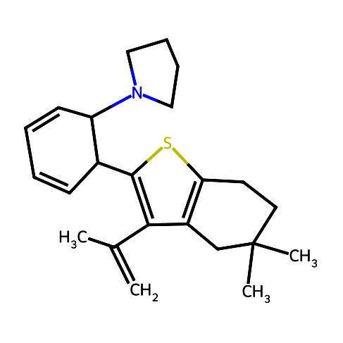 C=C(C)c1c(C2C=CC=CC2N2CCCC2)sc2c1CC(C)(C)CC2